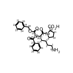 NCCCC[C@H](C(=O)N1CCC[C@H]1C(=O)O)N(C(=O)OCc1ccccc1)C(=O)c1ccccc1